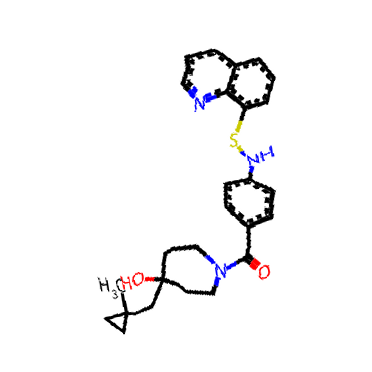 CC1(CC2(O)CCN(C(=O)c3ccc(NSc4cccc5cccnc45)cc3)CC2)CC1